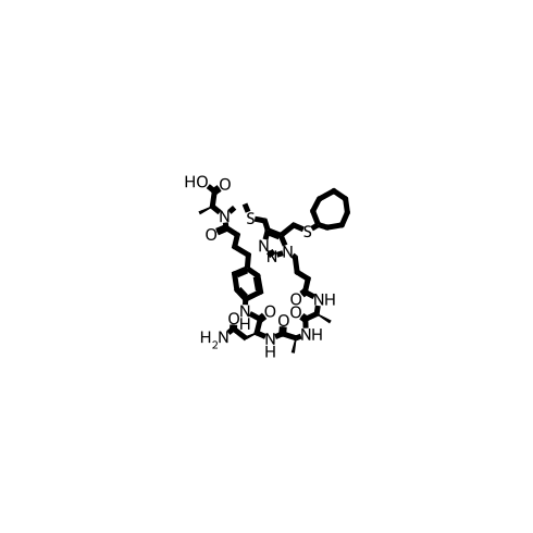 CSCc1nnn(CCCC(=O)N[C@@H](C)C(=O)N[C@@H](C)C(=O)N[C@@H](CC(N)=O)C(=O)Nc2ccc(CCCC(=O)N(C)[C@@H](C)C(=O)O)cc2)c1CSC1CCCCCCC1